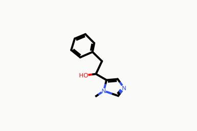 Cn1cncc1C(O)Cc1ccccc1